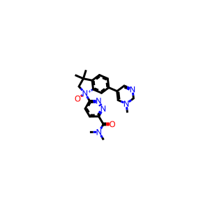 CN1C=C(c2ccc3c(c2)[N+]([O-])(c2ccc(C(=O)N(C)C)nn2)CC3(C)C)C=NC1